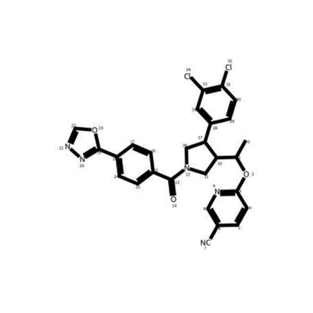 CC(Oc1ccc(C#N)cn1)C1CN(C(=O)c2ccc(-c3nnco3)cc2)CC1c1ccc(Cl)c(Cl)c1